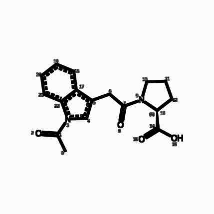 CC(=O)n1cc(CC(=O)N2CCC[C@H]2C(=O)O)c2ccccc21